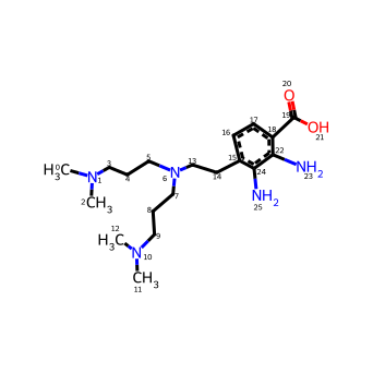 CN(C)CCCN(CCCN(C)C)CCc1ccc(C(=O)O)c(N)c1N